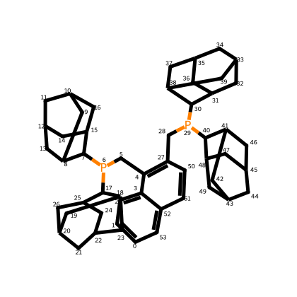 c1ccc2c(CP(C3C4CC5CC(C4)CC3C5)C3C4CC5CC(C4)CC3C5)c(CP(C3C4CC5CC(C4)CC3C5)C3C4CC5CC(C4)CC3C5)ccc2c1